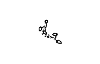 Cc1cc(N(Cc2ccccc2)Cc2ccccc2)ccc1C(C)c1ccc(N(Cc2ccccc2)Cc2ccccc2)cc1C